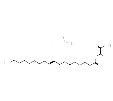 CCCCCCCCC=CCCCCCCCC(=O)SC(O)C(=O)O.[CH3][Sn]([CH3])[CH3]